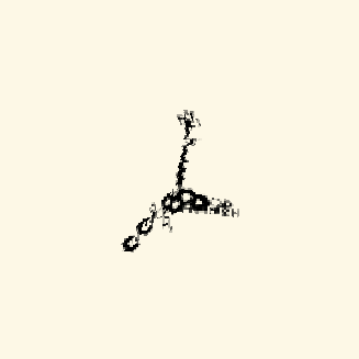 C[C@]12CC[C@@H]3c4ccc(OP(=O)(O)O)cc4C[C@@H](CCCCCCCCC[S+]([O-])CCCC(F)(F)C(F)(F)F)[C@H]3[C@@H]1CC[C@@H]2OC(=O)N1CCC(N2CCCCC2)CC1